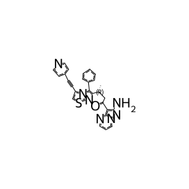 C[C@H](CC(=O)c1c(N)nn2cccnc12)c1nc2scc(C#Cc3ccncc3)n2c1-c1ccccc1